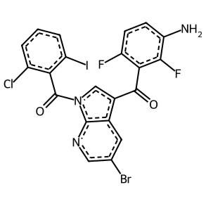 Nc1ccc(F)c(C(=O)c2cn(C(=O)c3c(Cl)cccc3I)c3ncc(Br)cc23)c1F